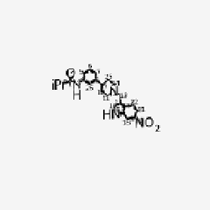 CC(C)C(=O)Nc1cccc(C2CCN(Cc3c[nH]c4cc([N+](=O)[O-])ccc34)CC2)c1